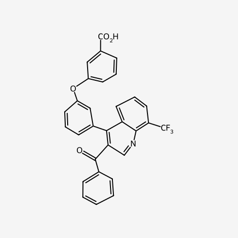 O=C(O)c1cccc(Oc2cccc(-c3c(C(=O)c4ccccc4)cnc4c(C(F)(F)F)cccc34)c2)c1